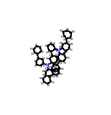 c1ccc(-c2cccc(N(c3cccc(-c4ccccc4-n4c5cc(-c6ccccc6)ccc5c5ccc(-c6ccccc6)cc54)c3)c3cc4ccccc4c4ccccc34)c2)cc1